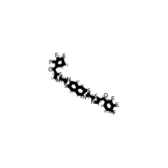 O=C(c1cnc(-c2nc3cc4cc5sc(-c6ncc(C(=O)c7ccc(F)c(F)c7F)s6)nc5cc4cc3s2)s1)c1ccc(F)c(F)c1F